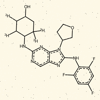 [2H]C1C(O)CC([2H])([2H])C(Nc2ncc3nc(Nc4c(F)cc(F)cc4F)n(C4CCOC4)c3n2)C1[2H]